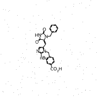 CCCCc1ncc(/C=C2\C(=O)NC(=O)N2Cc2ccccc2)n1Cc1ccc(C(=O)O)cc1